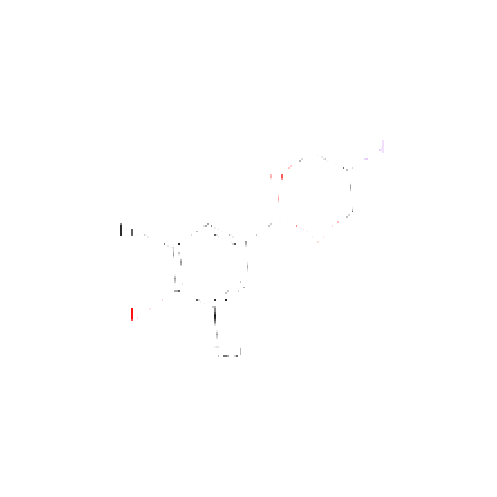 CC(C)(C)c1cc(C2OCC(I)CO2)cc(C(C)(C)C)c1O